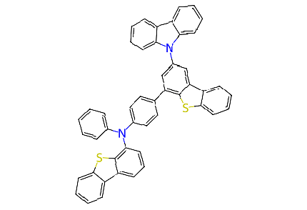 c1ccc(N(c2ccc(-c3cc(-n4c5ccccc5c5ccccc54)cc4c3sc3ccccc34)cc2)c2cccc3c2sc2ccccc23)cc1